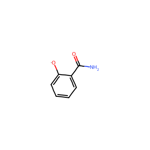 NC(=O)c1ccccc1[O]